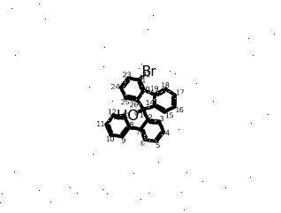 OC1(c2ccccc2-c2ccccc2)c2ccccc2-c2c(Br)cccc21